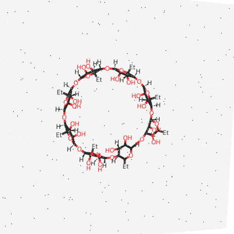 CCC1O[C@@H]2O[C@@H]3C(CC)O[C@H](O[C@@H]4C(O)[C@@H](OC(CC)[C@H]4O)O[C@@H]4C(CC)O[C@H](O[C@@H]5C(CC)O[C@H](O[C@@H]6C(CC)O[C@H](O[C@@H]7C(CC)O[C@H](O[C@@H]8C(CC)O[C@H](O[C@H]1C(O)[C@@H]2O)C(O)[C@H]8O)C(O)[C@H]7O)C(O)[C@H]6O)C(O)[C@H]5O)C(O)[C@H]4O)C(O)[C@H]3O